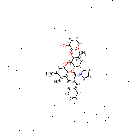 CC1CC(O[C@@H]2CCC[C@H](C)C2OC2OCCCC2O)CC(CC(CC2CCCCC2)C(=O)N2CCCC2)C1C#N